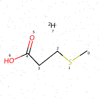 CSCCC(=O)O.[2H]